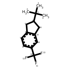 CC(C)(C)C1Cc2ccc(C(F)(F)F)cc2C1